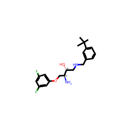 CC(C)(C)c1cccc(CNC[C@@H](O)[C@@H](N)COc2cc(F)cc(F)c2)c1